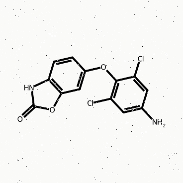 Nc1cc(Cl)c(Oc2ccc3[nH]c(=O)oc3c2)c(Cl)c1